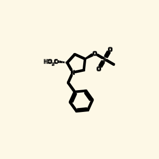 CS(=O)(=O)O[C@@H]1C[C@@H](C(=O)O)N(Cc2ccccc2)C1